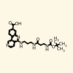 CC(C)(C)OC(=O)NCCC(=O)NCCCNc1nc2cc(C(=O)O)ccc2c2cnccc12